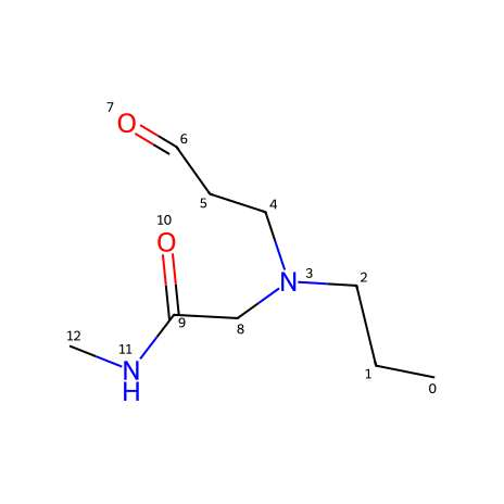 CCCN(CCC=O)CC(=O)NC